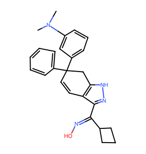 CN(C)c1cccc(C2(c3ccccc3)C=Cc3c(C(=NO)C4CCC4)n[nH]c3C2)c1